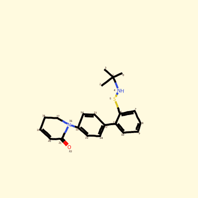 CC(C)(C)NSc1ccccc1-c1ccc(N2CCC=CC2=O)cc1